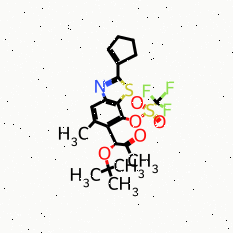 CC(=O)[C@@H](OC(C)(C)C)c1c(C)cc2nc(C3=CCCC3)sc2c1OS(=O)(=O)C(F)(F)F